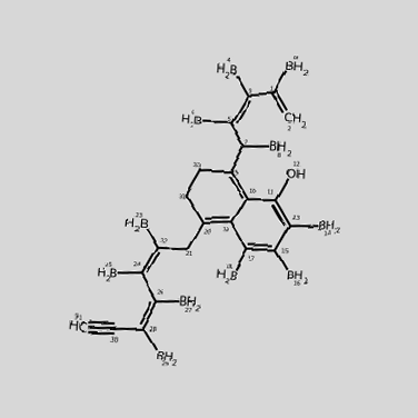 BC(=C)/C(B)=C(/B)C(B)C1=c2c(O)c(B)c(B)c(B)c2=C(C/C(B)=C(B)\C(B)=C(\B)C#C)CC1